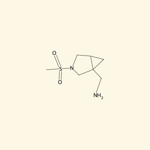 CS(=O)(=O)N1CC2CC2(CN)C1